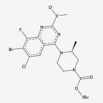 C[C@H]1CN(C(=O)OC(C)(C)C)CCN1c1nc([S+](C)[O-])nc2c(F)c(Br)c(Cl)cc12